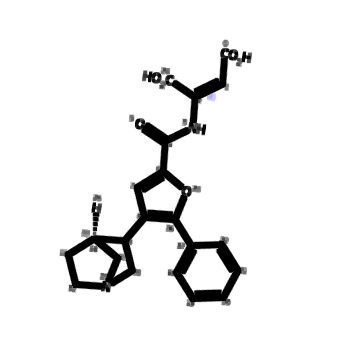 O=C(O)/C=C(/NC(=O)c1cc(C2CN3CC[C@@H]2C3)c(-c2ccccc2)o1)C(=O)O